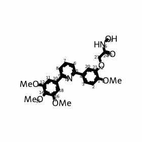 COc1ccc(-c2cccc(-c3cc(OC)c(OC)c(OC)c3)n2)cc1OCC(=O)NO